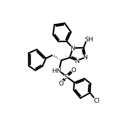 O=S(=O)(N[C@H](Cc1ccccc1)c1nnc(S)n1-c1ccccc1)c1ccc(Cl)cc1